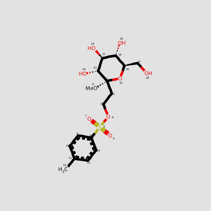 CO[C@@]1(CCOS(=O)(=O)c2ccc(C)cc2)O[C@H](CO)[C@@H](O)[C@H](O)[C@H]1O